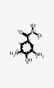 CCN(CC)C(=O)c1cc(N)c(O)c(N)c1